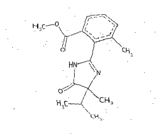 COC(=O)c1cccc(C)c1C1=NC(C)(C(C)C)C(=O)N1